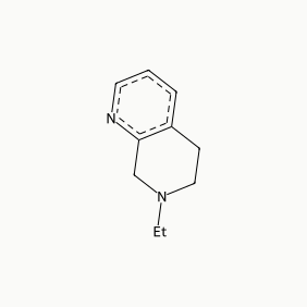 CCN1CCc2cccnc2C1